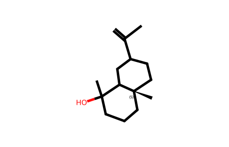 C=C(C)C1CC[C@]2(C)CCCC(C)(O)C2C1